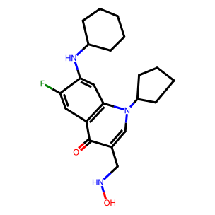 O=c1c(CNO)cn(C2CCCC2)c2cc(NC3CCCCC3)c(F)cc12